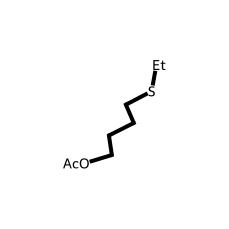 CCSCCCCOC(C)=O